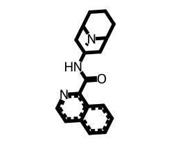 CN1C2CCCC1CC(NC(=O)c1nccc3ccccc13)C2